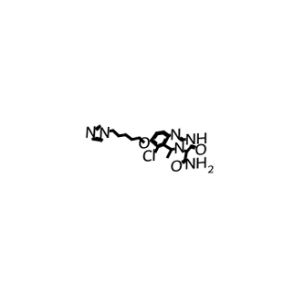 CC1c2c(ccc(OCCCCCn3ccnc3)c2Cl)N=C2NC(=O)C(C(N)=O)N21